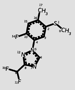 CSc1cc(-n2cnc(C(F)F)n2)c(F)cc1C